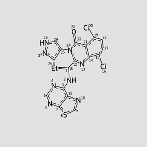 CC[C@H](Nc1ncnc2scnc12)c1nc2c(Cl)ccc(Cl)c2c(=O)n1-c1cn[nH]c1